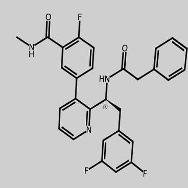 CNC(=O)c1cc(-c2cccnc2[C@H](Cc2cc(F)cc(F)c2)NC(=O)Cc2ccccc2)ccc1F